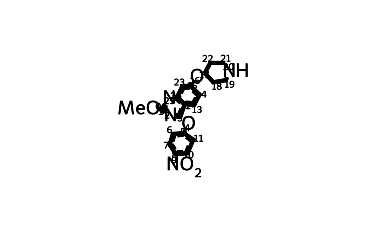 COc1nc(Oc2ccc([N+](=O)[O-])cc2)c2ccc(OC3CCNCC3)cc2n1